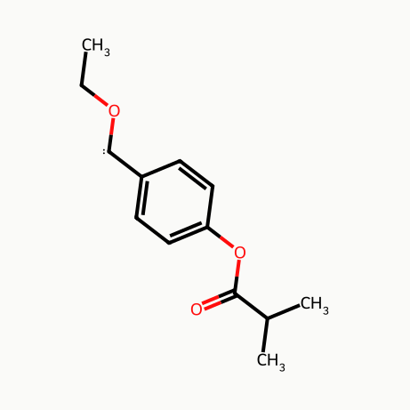 CCO[C]c1ccc(OC(=O)C(C)C)cc1